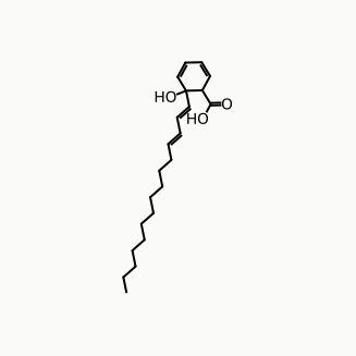 CCCCCCCCCCCC=CC=CC1(O)C=CC=CC1C(=O)O